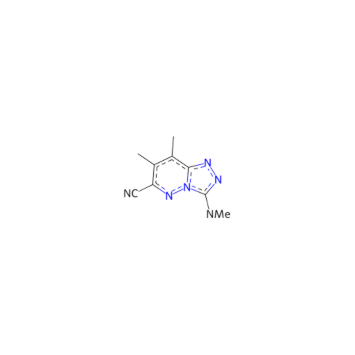 CNc1nnc2c(C)c(C)c(C#N)nn12